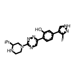 CC(C)C1CN(c2ncc(-c3ccc(-c4c[nH]nc4F)cc3O)nn2)CCN1